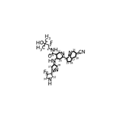 CC(C)(O)[C@H](F)CNC(=O)c1cnc(-c2ccc3cc(C#N)cnn23)cc1Nc1cnn(C2CNC[C@H]2F)c1